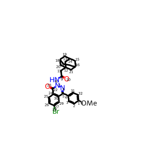 COc1ccc(-c2nn(NC(=O)CC34CC5CC(CC(C5)C3)C4)c(=O)c3ccc(Br)cc23)cc1